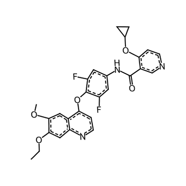 CCOc1cc2nccc(Oc3c(F)cc(NC(=O)c4cnccc4OC4CC4)cc3F)c2cc1OC